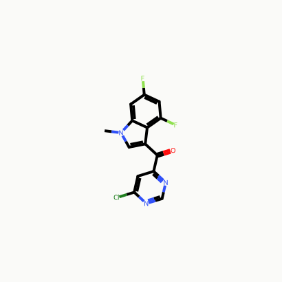 Cn1cc(C(=O)c2cc(Cl)ncn2)c2c(F)cc(F)cc21